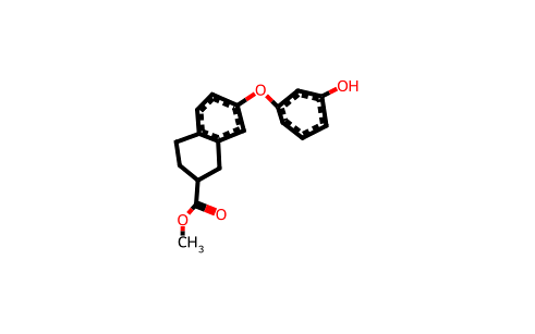 COC(=O)C1CCc2ccc(Oc3cccc(O)c3)cc2C1